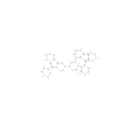 Clc1cc(-c2ccc3c(c2)c2ccccc2n3-c2ccccc2)cc(-c2cccc3c4ccccc4n(-c4ccccc4)c23)c1